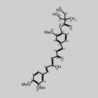 COc1ccc(/C=C/C(O)=C/C(=O)/C=C/c2ccc(OC(=O)C(C)(CO)CO)c(OC)c2)cc1OC